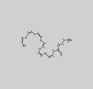 CC/C=C\C/C=C\C/C=C\C/C=C\C/C=C\C/C=C\CC(=O)OCCC(C)(C)C